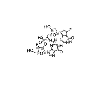 Nc1nc2c(ncn2[C@@H]2O[C@H](CO)[C@@H](F)[C@H]2OP(=O)(S)OC[C@H]2O[C@@H](n3cc(F)c4c(=O)[nH]cnc43)C[C@@H]2O)c(=O)[nH]1